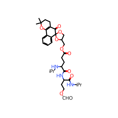 CC(C)NC(=O)C(CCOC=O)NC(=O)C(CCC(=O)OCC1COC2(O1)C(=O)C1=C(OC(C)(C)CC1)c1ccccc12)NC(C)C